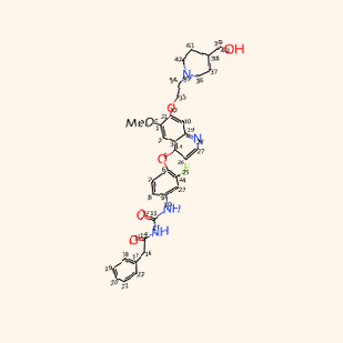 COc1cc2c(Oc3ccc(NC(=O)NC(=O)Cc4ccccc4)cc3F)ccnc2cc1OCCN1CCC(CO)CC1